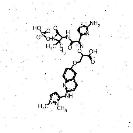 Cn1c(Nc2ccc3cc(OCC(O/N=C(\C(=O)NC4C(=O)N(OS(=O)(=O)O)C4(C)C)c4csc(N)n4)C(=O)O)ccc3n2)cc[n+]1C